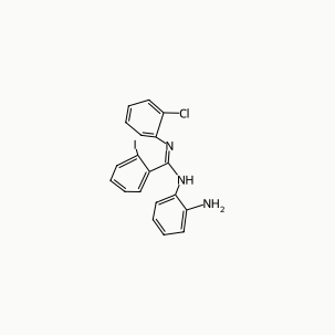 Nc1ccccc1N/C(=N/c1ccccc1Cl)c1ccccc1I